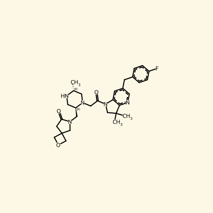 C[C@@H]1CN(CC(=O)N2CC(C)(C)c3ncc(Cc4ccc(F)cc4)cc32)[C@@H](CN2CC3(COC3)CC2=O)CN1